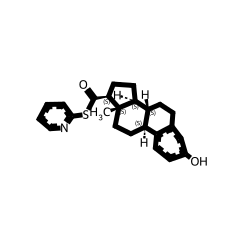 C[C@]12CC[C@@H]3c4ccc(O)cc4CC[C@H]3[C@@H]1CC[C@@H]2C(=O)Sc1ccccn1